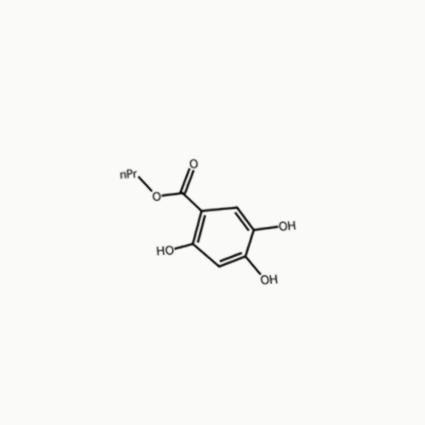 CCCOC(=O)c1cc(O)c(O)cc1O